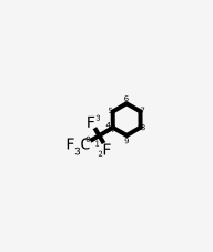 FC(F)(F)C(F)(F)[C]1CCCCC1